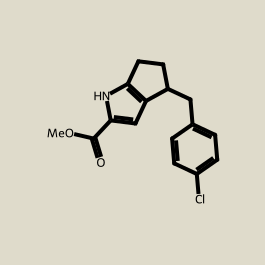 COC(=O)c1cc2c([nH]1)CCC2Cc1ccc(Cl)cc1